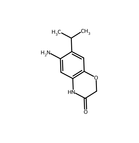 CC(C)c1cc2c(cc1N)NC(=O)CO2